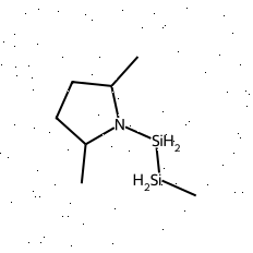 C[SiH2][SiH2]N1C(C)CCC1C